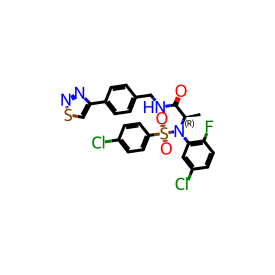 C[C@H](C(=O)NCc1ccc(-c2csnn2)cc1)N(c1cc(Cl)ccc1F)S(=O)(=O)c1ccc(Cl)cc1